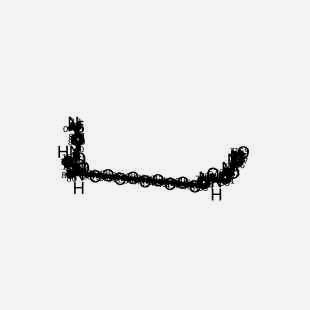 Cc1ncsc1-c1ccc(CNC(=O)[C@@H]2CCCN2C(=O)C(NC(=O)CCOCCOCCOCCOCCOCCOCCOCCOCCOc2ccc(C(=O)Nc3ccc4oc(-c5ccc(=O)n(C)n5)nc4c3)nc2)C(C)(C)C)cc1